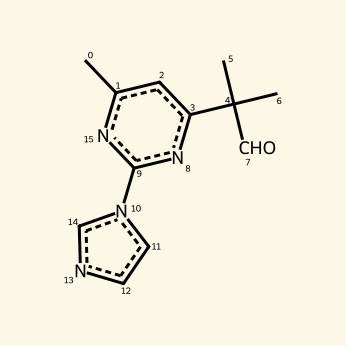 Cc1cc(C(C)(C)C=O)nc(-n2ccnc2)n1